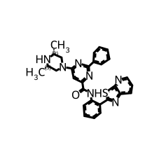 C[C@@H]1CN(c2cc(C(=O)Nc3ccccc3-c3nc4cccnc4s3)nc(-c3ccccc3)n2)C[C@H](C)N1